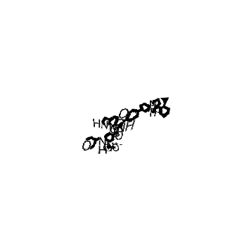 O=C(NS(=O)(=O)c1ccc(NCC2CCOCC2)c([N+](=O)[O-])c1)c1ccc(-c2ccc(N3CCCC3(c3ccccc3C3CC3)C(F)(F)F)cc2)cc1Oc1cnc2[nH]ccc2c1